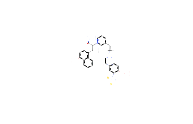 CC(C)(Cc1cccc(C(Cc2ccc(O)c3ccccc23)C(N)=O)c1)NC[C@@H](O)c1ccc(O)c(NS(C)(=O)=O)c1